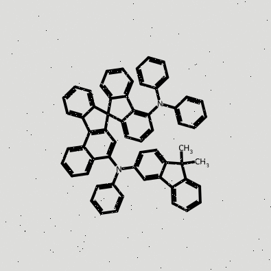 CC1(C)c2ccccc2-c2cc(N(c3ccccc3)c3cc4c(c5ccccc35)-c3ccccc3C43c4ccccc4-c4c(N(c5ccccc5)c5ccccc5)cccc43)ccc21